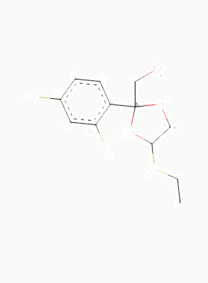 CCSC1COC(CBr)(c2ccc(F)cc2F)O1